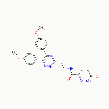 COc1ccc(-c2nnc(CCNC(=O)C3=NNC(=O)CC3)nc2-c2ccc(OC)cc2)cc1